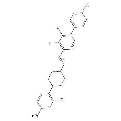 CCCc1ccc(C2CCC(/C=C/c3ccc(-c4ccc(CC)cc4)c(F)c3F)CC2)c(F)c1